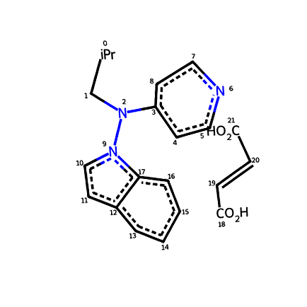 CC(C)CN(c1ccncc1)n1ccc2ccccc21.O=C(O)C=CC(=O)O